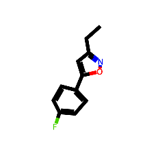 CCc1cc(-c2ccc(F)cc2)on1